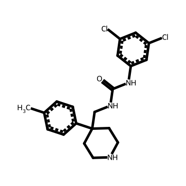 Cc1ccc(C2(CNC(=O)Nc3cc(Cl)cc(Cl)c3)CCNCC2)cc1